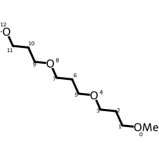 COCCCOCCCOCCC[O]